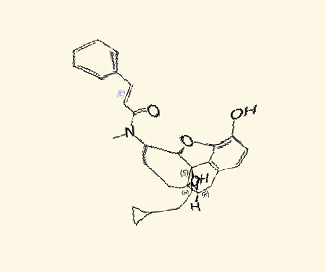 CN(C(=O)/C=C/c1ccccc1)C1CC[C@@]2(O)[C@H]3Cc4ccc(O)c5c4[C@@]2(CCN3CC2CC2)C1O5